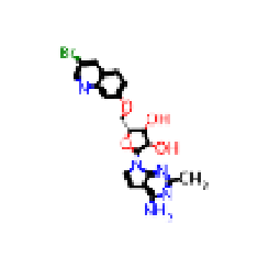 Cc1nc(N)c2ccn([C@@H]3O[C@H](COc4ccc5cc(Br)cnc5c4)[C@@H](O)[C@H]3O)c2n1